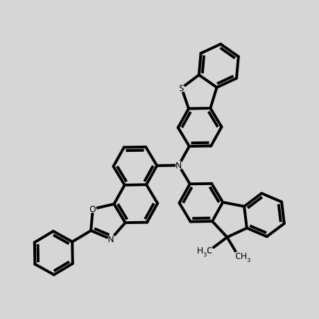 CC1(C)c2ccccc2-c2cc(N(c3ccc4c(c3)sc3ccccc34)c3cccc4c3ccc3nc(-c5ccccc5)oc34)ccc21